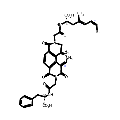 C=C1CN(CC(=O)N[C@@H](C/C(C)=C/C=C\CC)C(=O)O)C(=O)c2ccc3c(c21)/C(=C\C)C(=O)N(CC(=O)N[C@@H](Cc1ccccc1)C(=O)O)C3=O